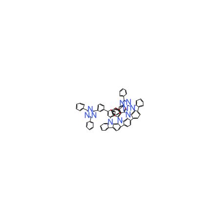 c1ccc(-c2nc(-c3ccccc3)nc(-c3cccc(-c4cccc(-n5c6ccccc6c6ccc7c8ccc9c%10ccc%11c%12ccccc%12n(-c%12nc(-c%13ccccc%13)nc(-c%13ccccc%13)n%12)c%11c%10n(-c%10ccccc%10)c9c8n(-c8ccccc8)c7c65)c4)c3)n2)cc1